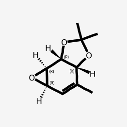 CC1=C[C@H]2O[C@H]2[C@@H]2OC(C)(C)O[C@H]12